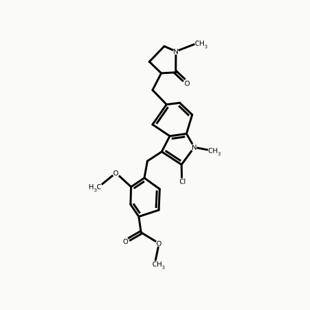 COC(=O)c1ccc(Cc2c(Cl)n(C)c3ccc(CC4CCN(C)C4=O)cc23)c(OC)c1